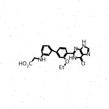 CCOc1cc(-c2cccc(NCC(=O)O)c2)ccc1-c1nc2[nH]cnc2c(=O)[nH]1